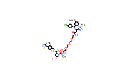 COc1ccc2c(c1)C(c1ccc(Cl)cc1)=NC(CC(=O)NCCOCCOCCOCC(=O)NC(C(=O)N1C[C@H](O)C[C@H]1C(=O)NCc1ccc(-c3scnc3C)cc1)C(C)(C)C)c1nnc(C)n1-2